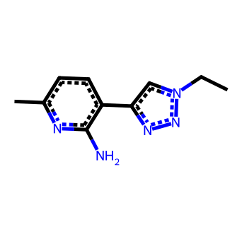 CCn1cc(-c2ccc(C)nc2N)nn1